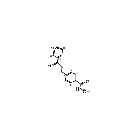 O=C(CCc1ccc(C(=O)NO)cc1)c1ccccc1